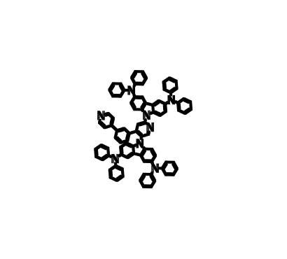 c1ccc(N(c2ccccc2)c2ccc3c(c2)c2cc(N(c4ccccc4)c4ccccc4)ccc2n3-c2cc(-c3cccc(-c4ccncc4)c3)c(-n3c4ccc(N(c5ccccc5)c5ccccc5)cc4c4cc(N(c5ccccc5)c5ccccc5)ccc43)cn2)cc1